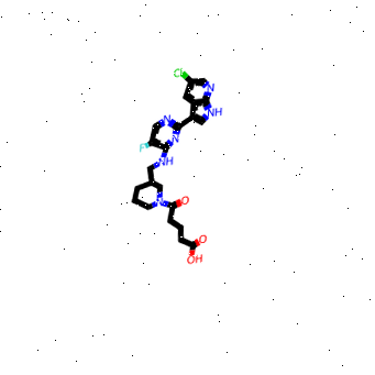 O=C(O)CCCC(=O)N1CCCC(CNc2nc(-c3c[nH]c4ncc(Cl)cc34)ncc2F)C1